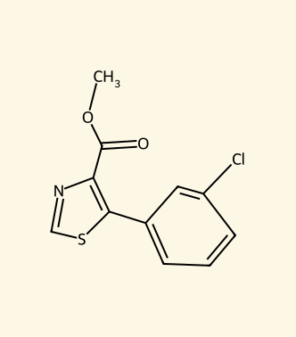 COC(=O)c1ncsc1-c1cccc(Cl)c1